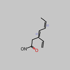 C=C/C(=C\C=C/C)CC(=O)N=O